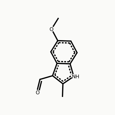 COc1ccc2[nH]c(C)c(C=O)c2c1